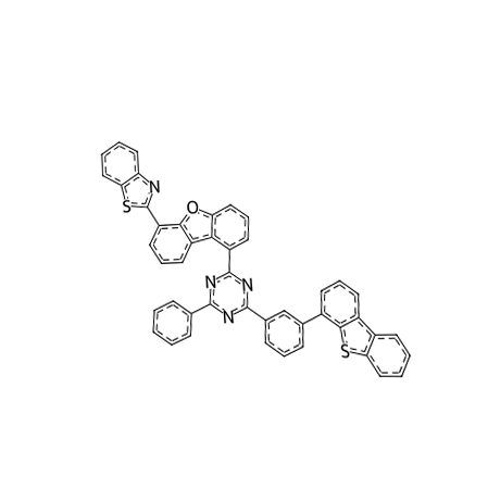 c1ccc(-c2nc(-c3cccc(-c4cccc5c4sc4ccccc45)c3)nc(-c3cccc4oc5c(-c6nc7ccccc7s6)cccc5c34)n2)cc1